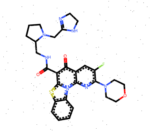 O=C(NCC1CCCN1CC1=NCCN1)c1c(=O)c2cc(F)c(N3CCOCC3)nc2n2c1sc1ccccc12